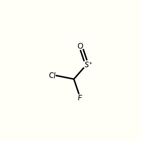 O=[S+]C(F)Cl